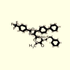 COC(=O)[C@H](CSCc1ccccc1)NC(=O)c1nc(-c2ccc(C(F)(F)F)cc2)oc1-c1ccc(-c2ccccc2)cc1